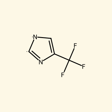 FC(F)(F)C1=C[N][C]=N1